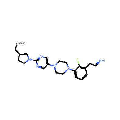 COCC1CCN(c2ncc(N3CCN(c4cccc(CC=N)c4F)CC3)cn2)C1